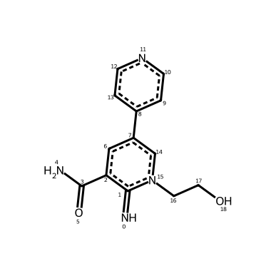 N=c1c(C(N)=O)cc(-c2ccncc2)cn1CCO